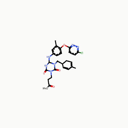 COC(=O)CCN1C(=O)NC(Nc2ccc(Oc3ccc(Cl)nn3)c(C)c2)N(CC2C=CC(C)=CC2)C1=O